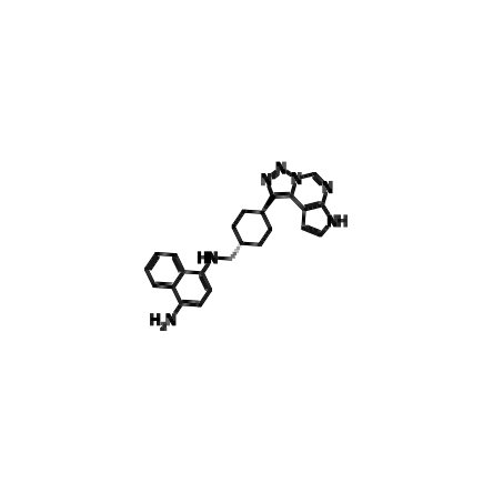 Nc1ccc(NC[C@H]2CC[C@H](c3nnn4cnc5[nH]ccc5c34)CC2)c2ccccc12